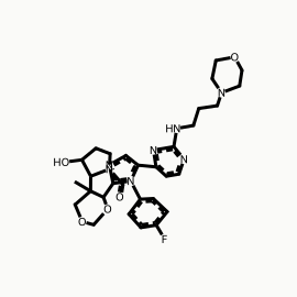 CC1(C2C(O)CCN2C=O)COCOC1c1ncc(-c2ccnc(NCCCN3CCOCC3)n2)n1-c1ccc(F)cc1